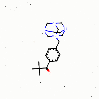 CC(C)(C)C(=O)c1ccc(C[N+]23CN4CN(CN(C4)C2)C3)cc1.[Br-]